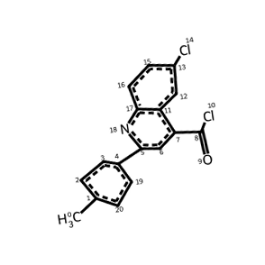 Cc1ccc(-c2cc(C(=O)Cl)c3cc(Cl)ccc3n2)cc1